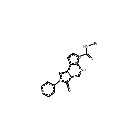 CC(C)NC(=O)n1ccc2c3nn(-c4ccccc4)c(=O)c-3c[nH]c21